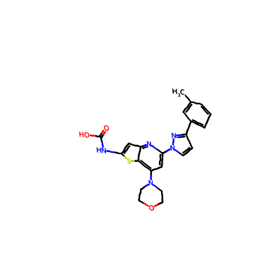 Cc1cccc(-c2ccn(-c3cc(N4CCOCC4)c4sc(NC(=O)O)cc4n3)n2)c1